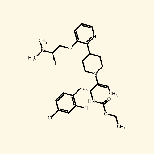 C/C=C(\[C@@H](Cc1ccc(Cl)cc1Cl)NC(=O)OCC)N1CCC(c2ncccc2OC[C@@H](I)N(C)C)CC1